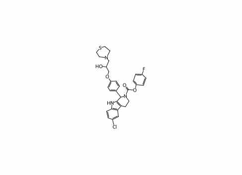 O=C(Oc1ccc(F)cc1)N1CCc2c([nH]c3ccc(Cl)cc23)C1c1ccc(OCC(O)CN2CCSCC2)cc1